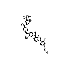 N#CCOc1ccc(-c2cnc3c(Nc4ccc(C(=O)N5CCC(C(=O)N6CCN[C@H](C(=O)O)C6)CC5)c(Br)c4)nccn23)c(F)c1F